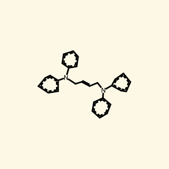 C(=C\CN(c1ccccc1)c1ccccc1)/CN(c1ccccc1)c1ccccc1